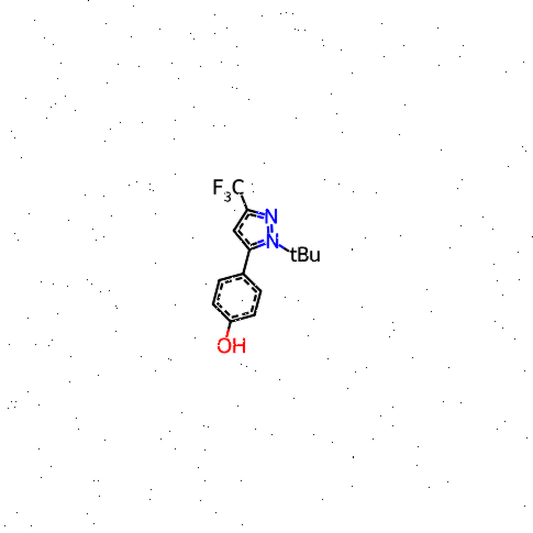 CC(C)(C)n1nc(C(F)(F)F)cc1-c1ccc(O)cc1